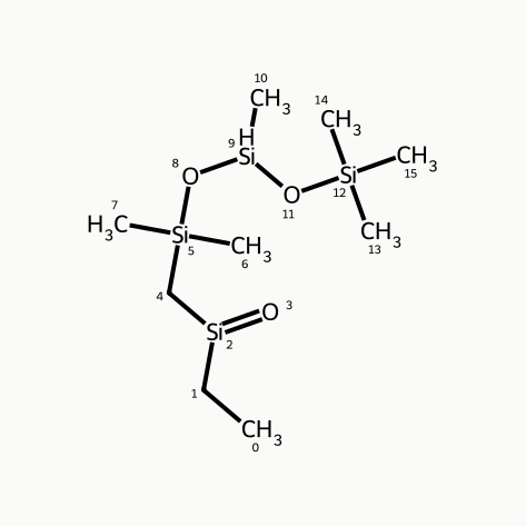 CC[Si](=O)C[Si](C)(C)O[SiH](C)O[Si](C)(C)C